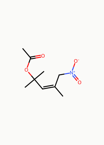 CC(=O)OC(C)(C)C=C(C)C[N+](=O)[O-]